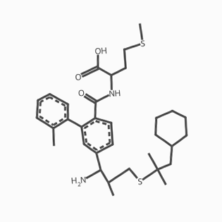 CSCCC(NC(=O)c1ccc(C(N)C(C)CSC(C)(C)CC2CCCCC2)cc1-c1ccccc1C)C(=O)O